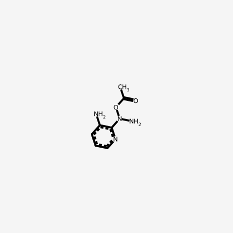 CC(=O)ON(N)c1ncccc1N